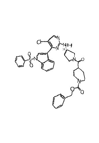 O=C(OCc1ccccc1)N1CCC(C(=O)N2CC[C@H](Nc3ncc(Cl)c(-c4cn(S(=O)(=O)c5ccccc5)c5ccccc45)n3)C2)CC1